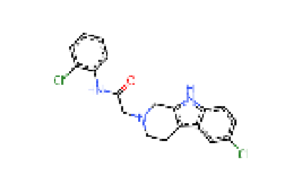 O=C(CN1CCc2c([nH]c3ccc(Cl)cc23)C1)Nc1ccccc1Cl